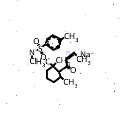 C/C=C\C(=O)C1C(C)CCCC1(C)C.Cc1ccc(S(=O)(=O)[N-]Cl)cc1.[Na+]